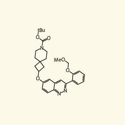 COCOc1ccccc1-c1cc2cc(OC3CC4(CCN(C(=O)OC(C)(C)C)CC4)C3)ccc2nn1